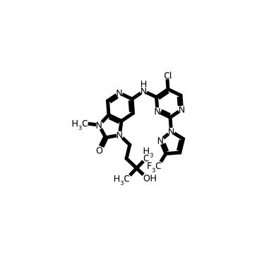 Cn1c(=O)n(CCC(C)(C)O)c2cc(Nc3nc(-n4ccc(C(F)(F)F)n4)ncc3Cl)ncc21